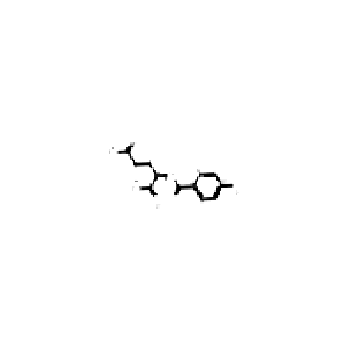 O=C(O)CCC(NC(=O)c1ccc(Cl)cc1)C(=O)O